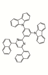 c1ccc2c(-c3cc(-c4cccc5ccccc45)nc(-c4cc(-n5c6ccccc6c6ccccc65)cc(-n5c6ccccc6c6ccccc65)c4)n3)cccc2c1